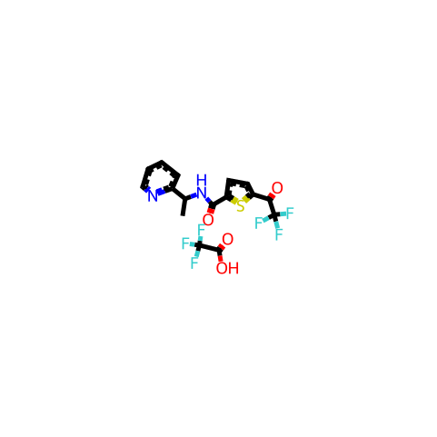 CC(NC(=O)c1ccc(C(=O)C(F)(F)F)s1)c1ccccn1.O=C(O)C(F)(F)F